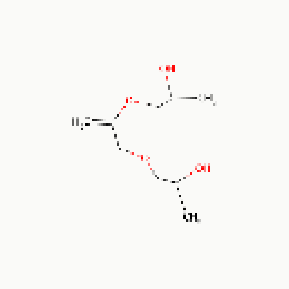 C=C(COCC(C)O)OCC(C)O